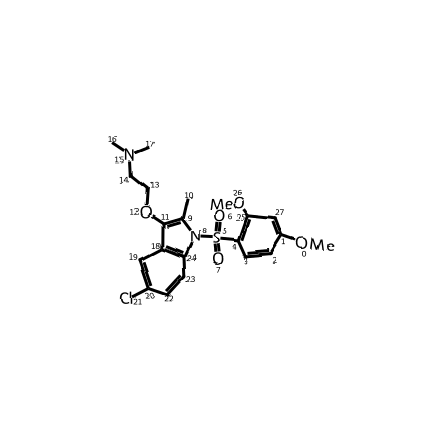 COc1ccc(S(=O)(=O)n2c(C)c(OCCN(C)C)c3cc(Cl)ccc32)c(OC)c1